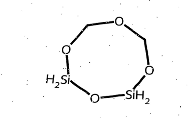 C1OCO[SiH2]O[SiH2]O1